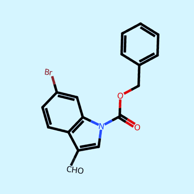 O=Cc1cn(C(=O)OCc2ccccc2)c2cc(Br)ccc12